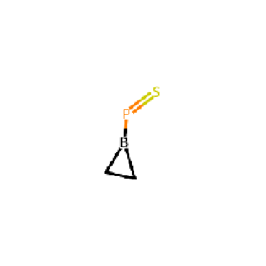 S=PB1CC1